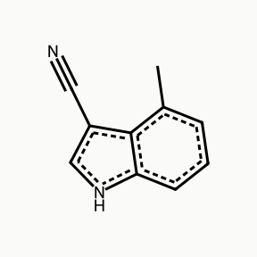 Cc1cccc2[nH]cc(C#N)c12